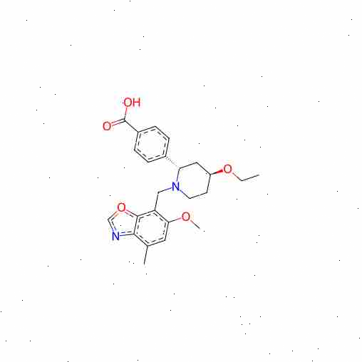 CCO[C@H]1CCN(Cc2c(OC)cc(C)c3ncoc23)[C@H](c2ccc(C(=O)O)cc2)C1